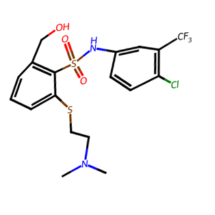 CN(C)CCSc1cccc(CO)c1S(=O)(=O)Nc1ccc(Cl)c(C(F)(F)F)c1